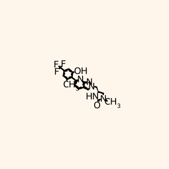 Cc1cc(C(F)(F)F)cc(O)c1-c1ccc2cn(C[C@H]3CN(C)C(=O)N3)nc2n1